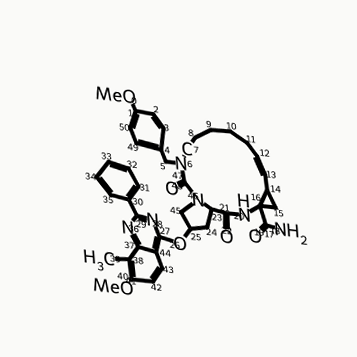 COc1ccc(CN2CCCCCC=CC3CC3(C(N)=O)NC(=O)C3CC(Oc4nc(-c5ccccc5)nc5c(C)c(OC)ccc45)CN3C2=O)cc1